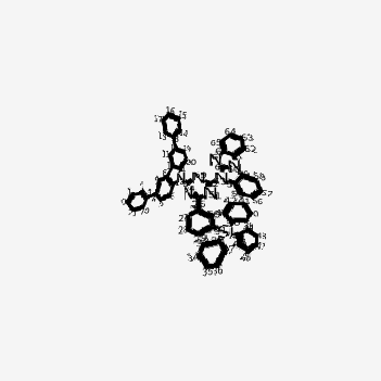 c1ccc(-c2ccc3c(c2)c2cc(-c4ccccc4)ccc2n3-c2nc(-c3cccc([Si](c4ccccc4)(c4ccccc4)c4ccccc4)c3)nc(-n3c4ccccc4n4c5ccccc5nc34)n2)cc1